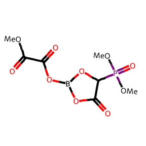 COC(=O)C(=O)OB1OC(=O)C(P(=O)(OC)OC)O1